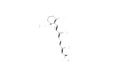 CC1=C(C=C/C(C)=C/C=C/C(C)=C/C(=O)O)C(C)(C)CCC1